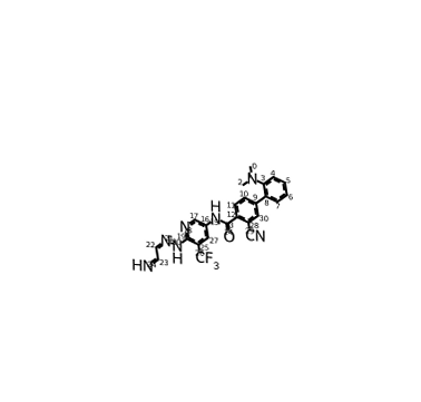 CN(C)c1ccccc1-c1ccc(C(=O)Nc2cnc(N/N=C\C=N)c(C(F)(F)F)c2)c(C#N)c1